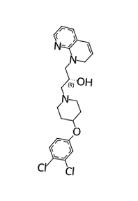 O[C@H](CN1CCC(Oc2ccc(Cl)c(Cl)c2)CC1)CN1CC=Cc2cccnc21